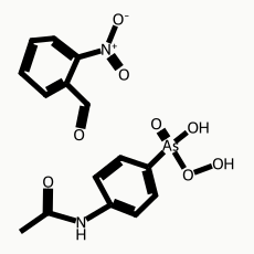 CC(=O)Nc1ccc([As](=O)(O)OO)cc1.O=Cc1ccccc1[N+](=O)[O-]